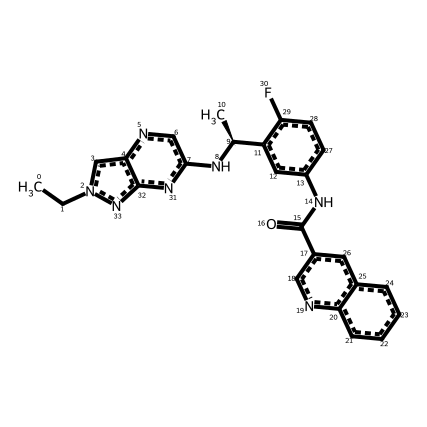 CCn1cc2ncc(N[C@@H](C)c3cc(NC(=O)c4cnc5ccccc5c4)ccc3F)nc2n1